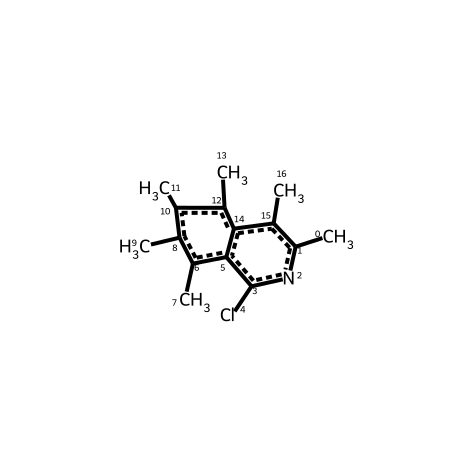 Cc1nc(Cl)c2c(C)c(C)c(C)c(C)c2c1C